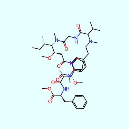 CC[C@H](C)[C@@H]([C@@H](CC(=O)N1CCC[C@H]1[C@H](OC)[C@@H](C)C(=O)N[C@@H](Cc1ccccc1)C(=O)OC)OC)N(C)C(=O)CNC(=O)C(C(C)C)N(C)CCc1ccc(N(C)C=O)cc1